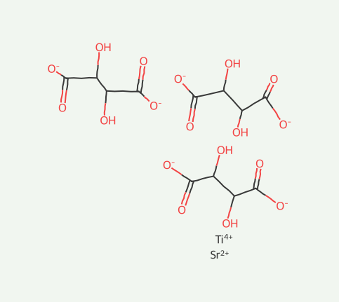 O=C([O-])C(O)C(O)C(=O)[O-].O=C([O-])C(O)C(O)C(=O)[O-].O=C([O-])C(O)C(O)C(=O)[O-].[Sr+2].[Ti+4]